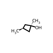 C[C@H]1C[C@@](C)(O)C1